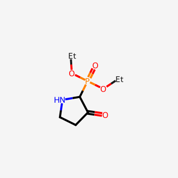 CCOP(=O)(OCC)C1NCCC1=O